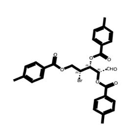 Cc1ccc(C(=O)OC[C@@H](Br)[C@H](OC(=O)c2ccc(C)cc2)[C@H](C=O)OC(=O)c2ccc(C)cc2)cc1